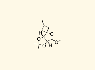 CO[C@@H]1O[C@]2(C[C@H](C)C2)[C@H]2OC(C)(C)O[C@@H]12